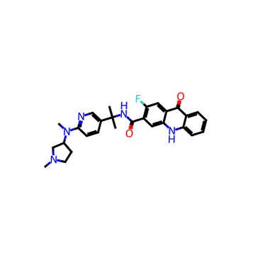 CN1CCC(N(C)c2ccc(C(C)(C)NC(=O)c3cc4[nH]c5ccccc5c(=O)c4cc3F)cn2)C1